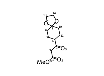 COC(=O)CC(=O)C1CCC2(CC1)OCCO2